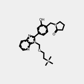 C[Si](C)(C)CCOCn1c(-c2ccc(CN3CCCC3=O)c(O)c2)nc2cccnc21